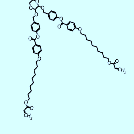 C=CC(=O)OCCCCCCCCCCOc1ccc(C(=O)Oc2ccc(COC3OCCOC3OCc3ccc(OC(=O)c4ccc(OCCCCCCCCCCOC(=O)C=C)cc4)cc3)cc2)cc1